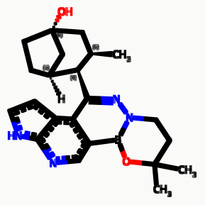 C[C@@H]1C[C@]2(O)CC[C@@H](C2)[C@@H]1C1=NN2CCC(C)(C)OB2c2cnc3[nH]ccc3c21